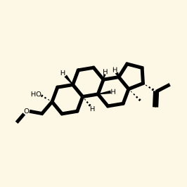 C=C(C)[C@H]1CC[C@H]2[C@@H]3CC[C@H]4C[C@](O)(COC)CC[C@@H]4[C@H]3CC[C@]12C